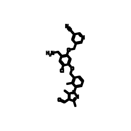 Cc1nn(-c2cccc(COc3cc(OCc4cncc(C#N)c4)c(CN)cc3Cl)c2C)c(C)c1C=O